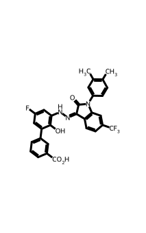 Cc1ccc(N2C(=O)/C(=N\Nc3cc(F)cc(-c4cccc(C(=O)O)c4)c3O)c3ccc(C(F)(F)F)cc32)cc1C